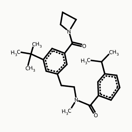 CC(C)c1cccc(C(=O)N(C)CCc2cc(C(=O)N3CCC3)cc(C(C)(C)C)c2)c1